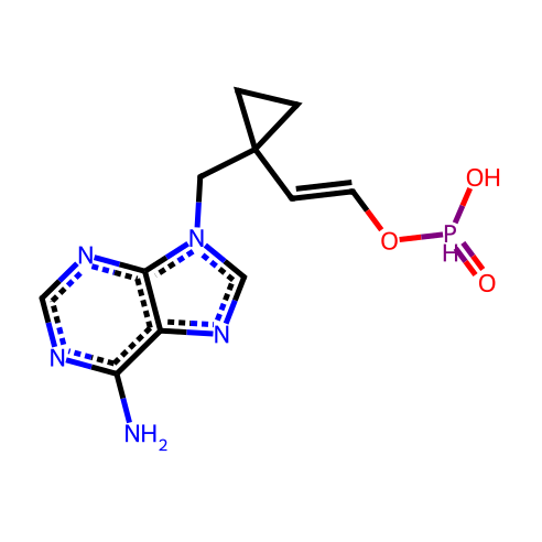 Nc1ncnc2c1ncn2CC1(/C=C/O[PH](=O)O)CC1